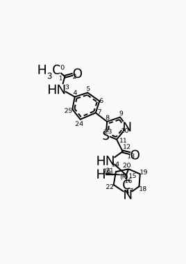 CC(=O)Nc1ccc(-c2cnc(C(=O)N[C@H]3CN4CCC3CC4)s2)cc1